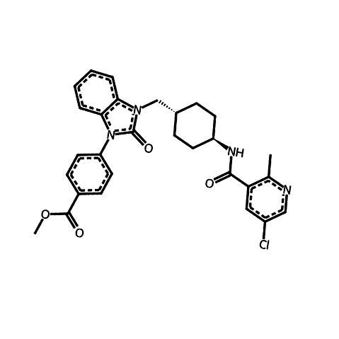 COC(=O)c1ccc(-n2c(=O)n(C[C@H]3CC[C@H](NC(=O)c4cc(Cl)cnc4C)CC3)c3ccccc32)cc1